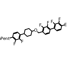 CCCCCc1ccc(C2CCC(OCc3ccc(-c4ccc(CC)c(F)c4F)c(F)c3F)CC2)c(F)c1F